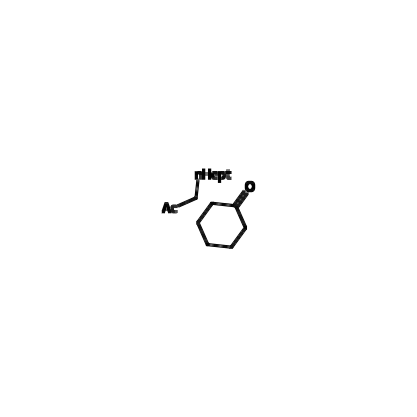 CCCCCCCCC(C)=O.O=C1CCCCC1